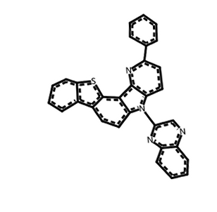 c1ccc(-c2ccc3c(n2)c2c4sc5ccccc5c4ccc2n3-c2cnc3ccccc3n2)cc1